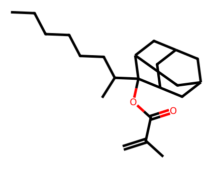 C=C(C)C(=O)OC1(C(C)CCCCCC)C2CC3CC(C2)CC1C3